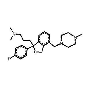 CN(C)CCCC1(c2ccc(F)cc2)OCc2c(CN3CCN(C)CC3)cccc21